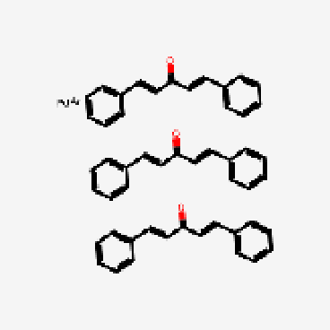 O=C(C=Cc1ccccc1)C=Cc1ccccc1.O=C(C=Cc1ccccc1)C=Cc1ccccc1.O=C(C=Cc1ccccc1)C=Cc1ccccc1.[Ar].[Pd]